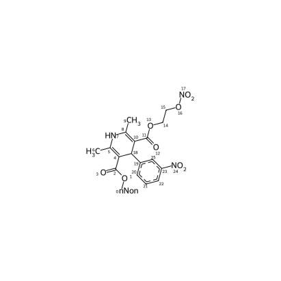 CCCCCCCCCOC(=O)C1=C(C)NC(C)=C(C(=O)OCCO[N+](=O)[O-])C1c1cccc([N+](=O)[O-])c1